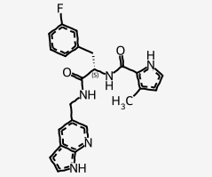 Cc1cc[nH]c1C(=O)N[C@@H](Cc1cccc(F)c1)C(=O)NCc1cnc2[nH]ccc2c1